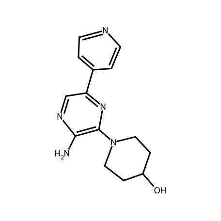 Nc1ncc(-c2ccncc2)nc1N1CCC(O)CC1